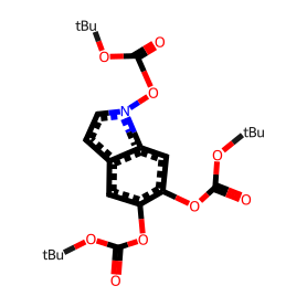 CC(C)(C)OC(=O)Oc1cc2ccn(OC(=O)OC(C)(C)C)c2cc1OC(=O)OC(C)(C)C